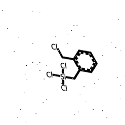 ClCc1ccccc1C[Si](Cl)(Cl)Cl